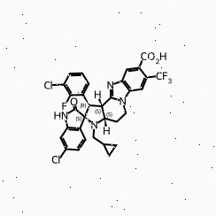 O=C(O)c1cc2nc3n(c2cc1C(F)(F)F)CC[C@H]1[C@@H]3[C@H](c2cccc(Cl)c2F)[C@]2(C(=O)Nc3cc(Cl)ccc32)N1CC1CC1